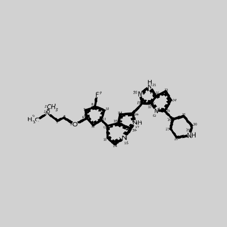 CN(C)CCOc1cc(F)cc(-c2ccnc3[nH]c(-c4n[nH]c5ccc(C6CCNCC6)nc45)cc23)c1